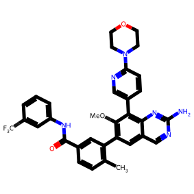 COc1c(-c2cc(C(=O)Nc3cccc(C(F)(F)F)c3)ccc2C)cc2cnc(N)nc2c1-c1ccc(N2CCOCC2)nc1